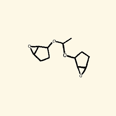 CC(OC1CCC2OC12)OC1CCC2OC12